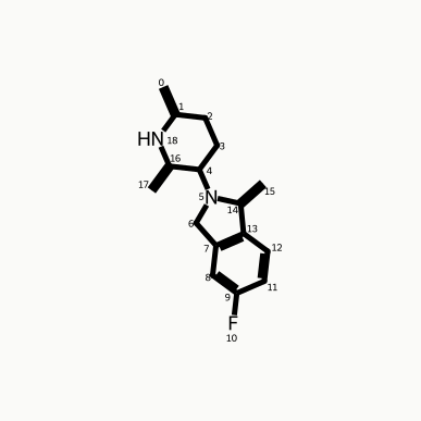 C=C1CCC(N2Cc3cc(F)ccc3C2=C)C(=C)N1